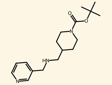 CC(C)(C)OC(=O)N1CCC(CNCc2cccnc2)CC1